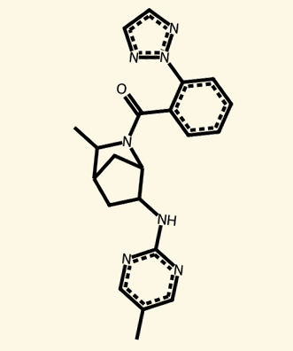 Cc1cnc(NC2CC3CC2N(C(=O)c2ccccc2-n2nccn2)C3C)nc1